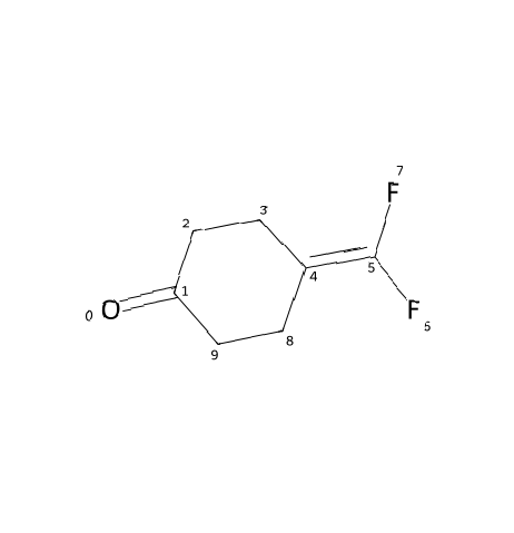 O=C1CCC(=C(F)F)CC1